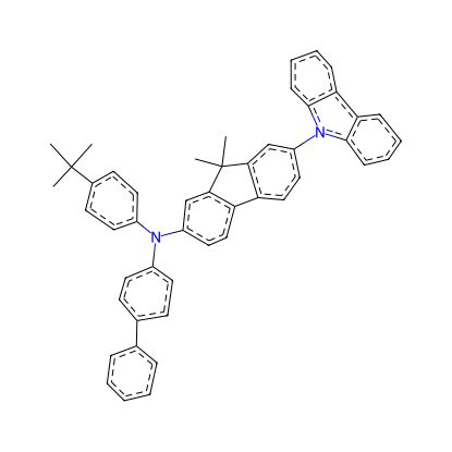 CC(C)(C)c1ccc(N(c2ccc(-c3ccccc3)cc2)c2ccc3c(c2)C(C)(C)c2cc(-n4c5ccccc5c5ccccc54)ccc2-3)cc1